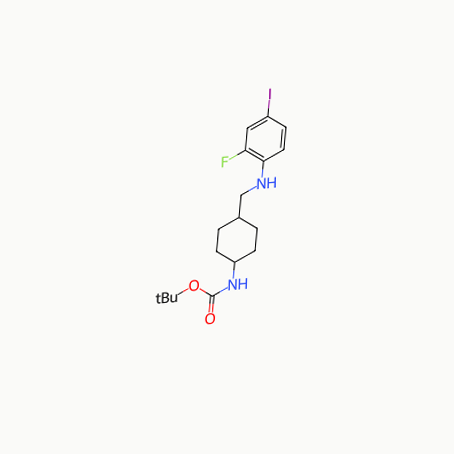 CC(C)(C)OC(=O)NC1CCC(CNc2ccc(I)cc2F)CC1